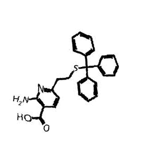 Nc1nc(CCSC(c2ccccc2)(c2ccccc2)c2ccccc2)ccc1C(=O)O